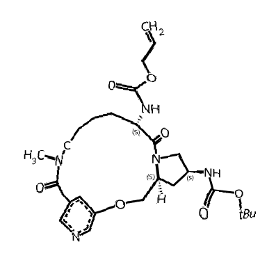 C=CCOC(=O)N[C@H]1CCCCN(C)C(=O)c2cncc(c2)OC[C@@H]2C[C@H](NC(=O)OC(C)(C)C)CN2C1=O